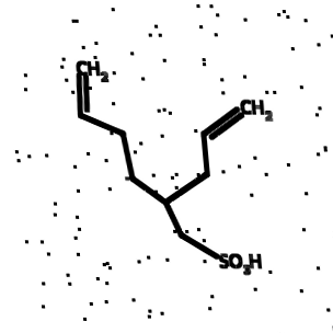 C=CC[CH]C(CC=C)CS(=O)(=O)O